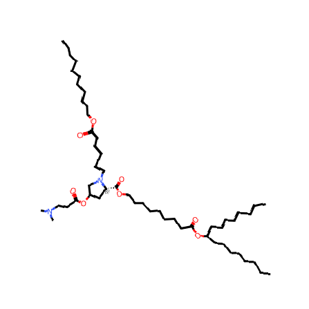 CCCCCCCCCCCOC(=O)CCCCCN1CC(OC(=O)CCN(C)C)C[C@H]1C(=O)OCCCCCCCCC(=O)OC(CCCCCCCC)CCCCCCCC